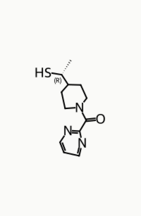 C[C@@H](S)C1CCN(C(=O)c2ncccn2)CC1